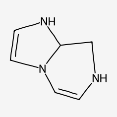 C1=CN2C=CNC2CN1